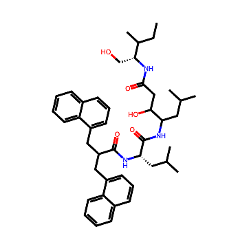 CCC(C)[C@@H](CO)NC(=O)CC(O)C(CC(C)C)NC(=O)[C@H](CC(C)C)NC(=O)C(Cc1cccc2ccccc12)Cc1cccc2ccccc12